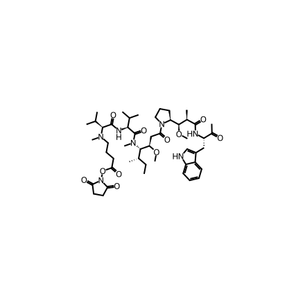 CC[C@H](C)[C@@H]([C@@H](CC(=O)N1CCC[C@H]1[C@H](OC)[C@@H](C)C(=O)N[C@@H](Cc1c[nH]c2ccccc12)C(C)=O)OC)N(C)C(=O)[C@@H](NC(=O)[C@H](C(C)C)N(C)CCCC(=O)ON1C(=O)CCC1=O)C(C)C